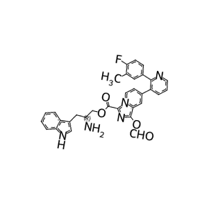 Cc1cc(-c2ncccc2-c2ccn3c(C(=O)OC[C@H](N)Cc4c[nH]c5ccccc45)nc(OC=O)c3c2)ccc1F